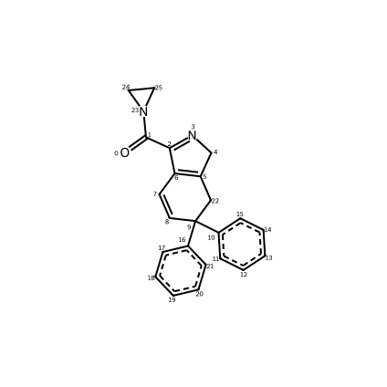 O=C(C1=NCC2=C1C=CC(c1ccccc1)(c1ccccc1)C2)N1CC1